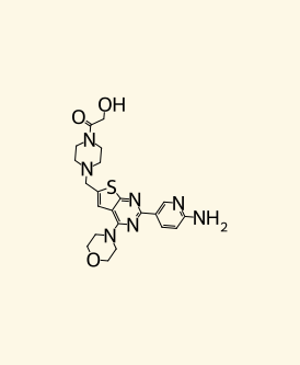 Nc1ccc(-c2nc(N3CCOCC3)c3cc(CN4CCN(C(=O)CO)CC4)sc3n2)cn1